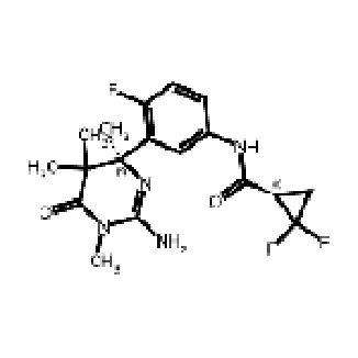 CN1C(=O)C(C)(C)[C@@](C)(c2cc(NC(=O)[C@H]3CC3(F)F)ccc2F)N=C1N